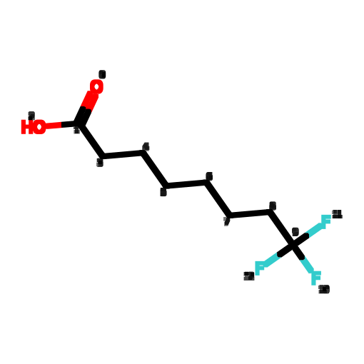 O=C(O)CCCCCCC(F)(F)F